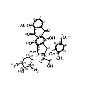 COc1cccc2c1C(=O)c1c(O)c3c(c(O)c1C2=O)C[C@@](O)(C(=O)CO)C[C@@H]3O[C@H]1C[C@H](N)[C@H](O)[C@H](C)O1.Cc1ccc(S(=O)(=O)O)cc1